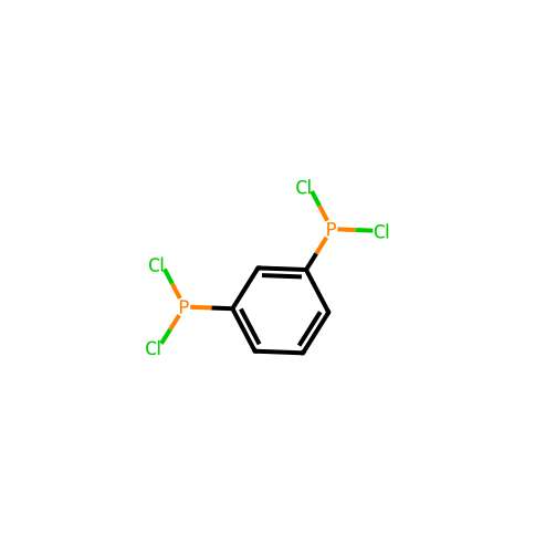 ClP(Cl)c1cccc(P(Cl)Cl)c1